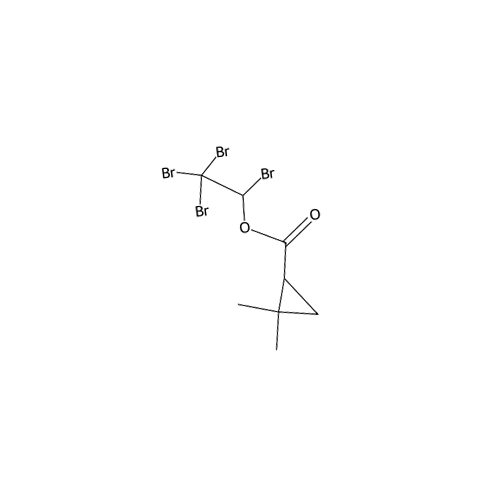 CC1(C)CC1C(=O)OC(Br)C(Br)(Br)Br